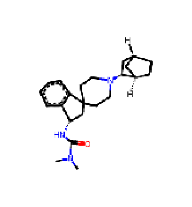 CN(C)C(=O)N[C@H]1CC2(CCN([C@H]3C[C@@H]4CC[C@@H]3C4)CC2)c2ccccc21